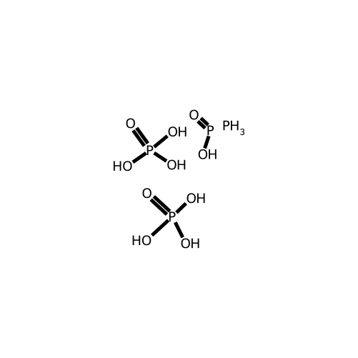 O=P(O)(O)O.O=P(O)(O)O.O=PO.P